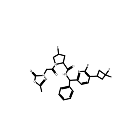 Cc1nn(CC(=O)N2CC(F)CC2C(=O)NC(c2ccccc2)c2ccc(C3CC(F)(F)C3)c(F)n2)c(=O)o1